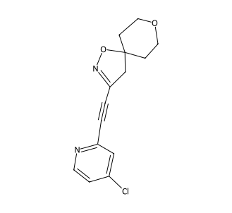 Clc1ccnc(C#CC2=NOC3(CCOCC3)C2)c1